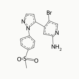 CS(=O)(=O)c1ccc(-n2nccc2-c2cc(N)ncc2Br)cc1